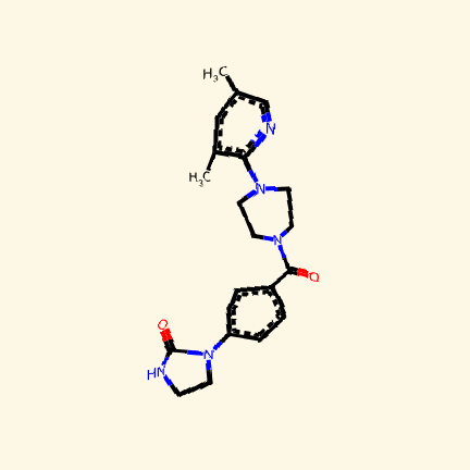 Cc1cnc(N2CCN(C(=O)c3ccc(N4CCNC4=O)cc3)CC2)c(C)c1